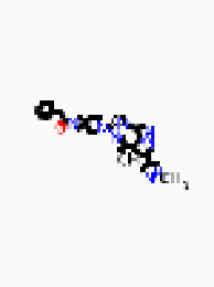 C=C/C(=C\N=C(/C)N1CCC2(CC1)CN(C(=O)Cc1ccccc1)C2)c1cc(-c2cnn(C)c2)cn2ncc(C#N)c12